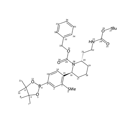 CSc1cc(B2OC(C)(C)C(C)(C)O2)ccc1[C@@H]1CCC[C@@H](CCNC(=O)OC(C)(C)C)N1C(=O)OCc1ccccc1